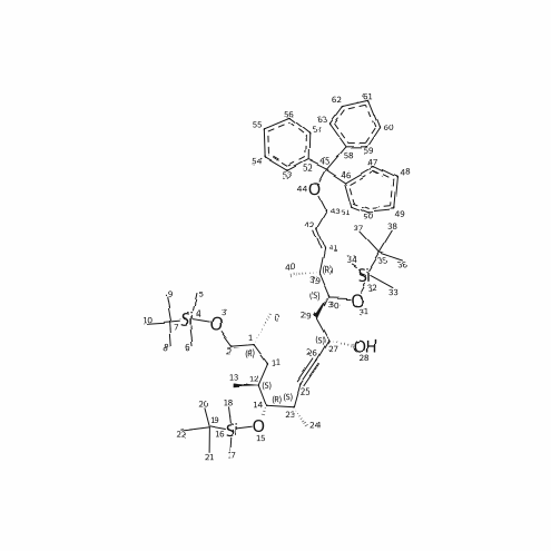 C[C@@H](CO[Si](C)(C)C(C)(C)C)C[C@H](C)[C@@H](O[Si](C)(C)C(C)(C)C)[C@@H](C)C#C[C@@H](O)C[C@H](O[Si](C)(C)C(C)(C)C)[C@H](C)C=CCOC(c1ccccc1)(c1ccccc1)c1ccccc1